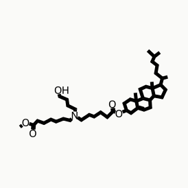 COC(=O)CCCCCCN(CCCCO)CCCCCC(=O)OC1CCC2(C)C(=CCC3C2CCC2(C)C(C(C)CCCC(C)C)CCC32)C1